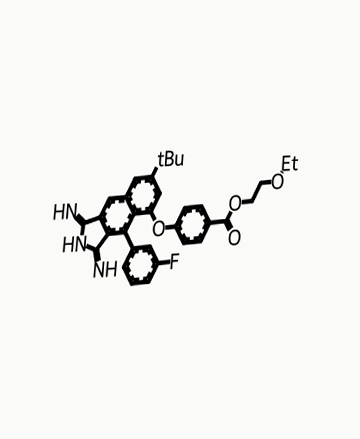 CCOCCOC(=O)c1ccc(Oc2cc(C(C)(C)C)cc3cc4c(c(-c5cccc(F)c5)c23)C(=N)NC4=N)cc1